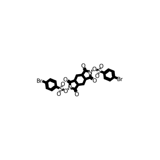 O=C1C2CC3C(=O)N(OS(=O)(=O)c4ccc(Br)cc4)C(=O)C3CC2C(=O)N1OS(=O)(=O)c1ccc(Br)cc1